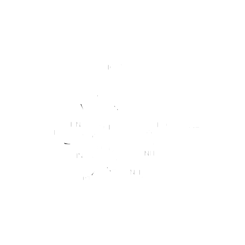 Cc1c(O)cccc1C(=O)NC[C@H](N)C(=O)N[C@H](C(=O)N[C@@H](CC(C)C)C(=O)N[C@@H](Cc1ccccc1)[C@@H](O)C(=O)Nc1cccc(C(=O)O)c1)C(C)C